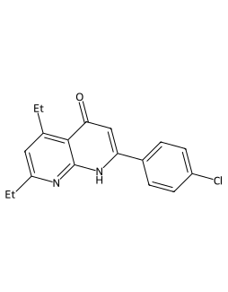 CCc1cc(CC)c2c(=O)cc(-c3ccc(Cl)cc3)[nH]c2n1